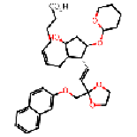 O=C(O)CCC/C=C\C[C@@H]1[C@@H](/C=C/C2(COc3ccc4ccccc4c3)OCCO2)[C@H](OC2CCCCO2)C[C@@H]1O